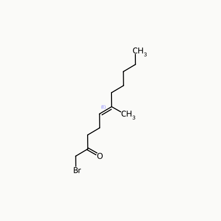 CCCCC/C(C)=C/CCC(=O)CBr